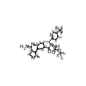 Cn1ncc2c(N)nc3ccc(C(=O)N(Cc4ccc(C(F)(F)F)cn4)NC(=O)OC(C)(C)C)cc3c21